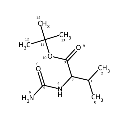 CC(C)C(NC(N)=O)C(=O)OC(C)(C)C